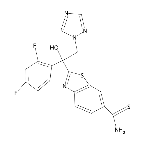 NC(=S)c1ccc2nc(C(O)(Cn3cncn3)c3ccc(F)cc3F)sc2c1